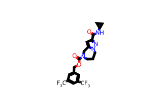 O=C(NC1CC1)c1cc2n(n1)CCCN(C(=O)OCc1cc(C(F)(F)F)cc(C(F)(F)F)c1)C2